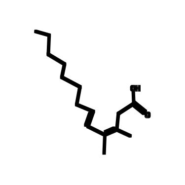 CCCCCCCC=CC(C)=C(C)CC(=O)O